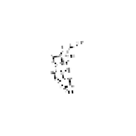 CC(C)CC[C@H](O)[C@@H](C)C1CCC2C3CC=C4C[C@@H](O)CC[C@]4(C)C3CC[C@@]21C